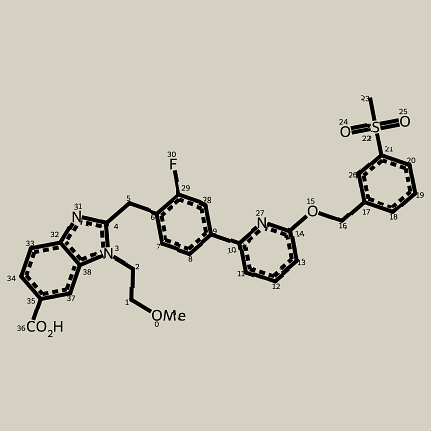 COCCn1c(Cc2ccc(-c3cccc(OCc4cccc(S(C)(=O)=O)c4)n3)cc2F)nc2ccc(C(=O)O)cc21